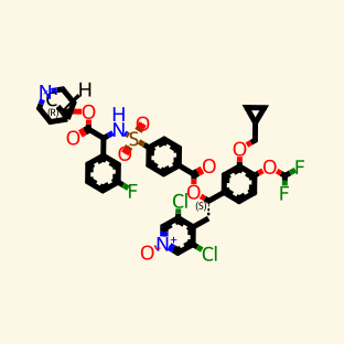 O=C(O[C@@H](Cc1c(Cl)c[n+]([O-])cc1Cl)c1ccc(OC(F)F)c(OCC2CC2)c1)c1ccc(S(=O)(=O)NC(C(=O)O[C@H]2CN3CCC2CC3)c2cccc(F)c2)cc1